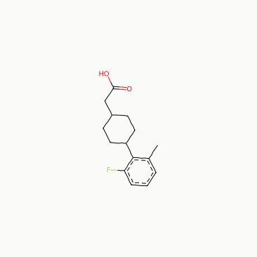 Cc1cccc(F)c1C1CCC(CC(=O)O)CC1